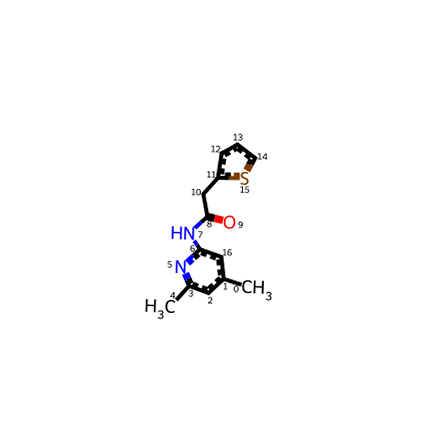 Cc1cc(C)nc(NC(=O)Cc2cccs2)c1